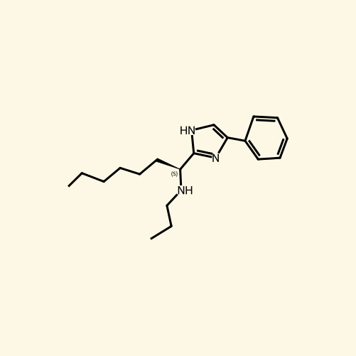 CCCCCC[C@H](NCCC)c1nc(-c2ccccc2)c[nH]1